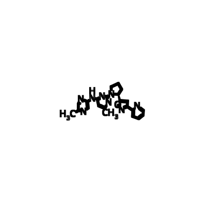 Cc1cnc(Nc2cc(C)nc(N3CCC[C@H]3c3cc(-c4ccccn4)no3)n2)cn1